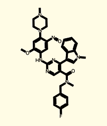 COc1cc(N2CCN(C)CC2)c(N=O)cc1Nc1ncc(C(=O)N(C)Cc2ccc(F)cc2)c(-c2cn(C)c3ccccc23)n1